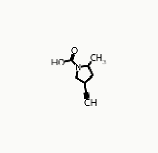 C#CC1CC(C)N(C(=O)O)C1